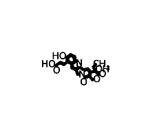 CC[C@@]1(O)C(=O)OCc2c1cc1n(c2=O)Cc2cc3c(C=CC(=O)O)c(O)ccc3nc2-1